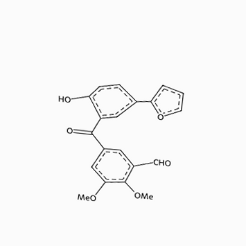 COc1cc(C(=O)c2cc(-c3ccco3)ccc2O)cc(C=O)c1OC